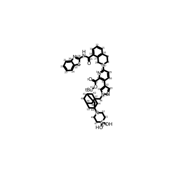 CC(C)(C)OC(=O)c1nc(N2CCc3cccc(C(=O)Nc4nc5ccccc5s4)c3C2)ccc1-c1cnn(CC23CC4CC(C2)CC(N2CCS(O)(O)CC2)(C4)C3)c1